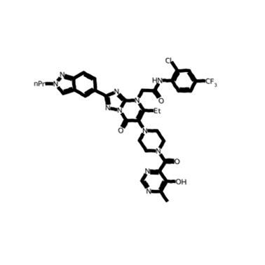 CCCn1cc2cc(-c3nc4n(CC(=O)Nc5ccc(C(F)(F)F)cc5Cl)c(CC)c(N5CCN(C(=O)c6ncnc(C)c6O)CC5)c(=O)n4n3)ccc2n1